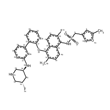 Cc1cc(CS(=O)(=O)Nc2c(F)ccc3c(Oc4ncccc4-c4ccnc(N[C@@H]5CNC[C@@H](F)C5)n4)c(C)ccc23)no1